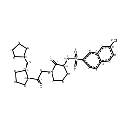 O=C1[C@@H](NS(=O)(=O)c2ccc3ccc(Cl)cc3c2)CCCN1CC(=O)N1CCC[C@H]1CN1CCCC1